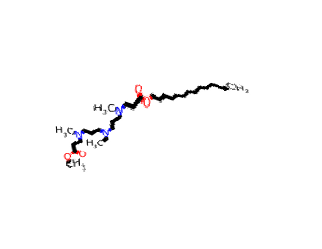 CCCCCCCCCCCCCOC(=O)CCN(C)CCCN(CC)CCCN(C)CCC(=O)OC